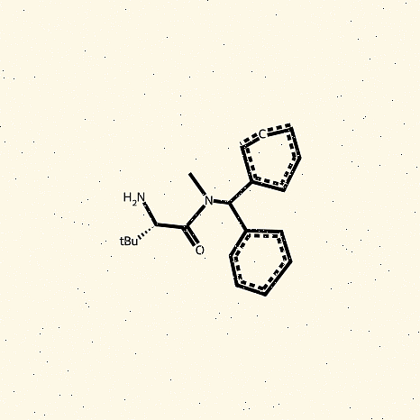 CN(C(=O)[C@@H](N)C(C)(C)C)C(c1ccccc1)c1ccccc1